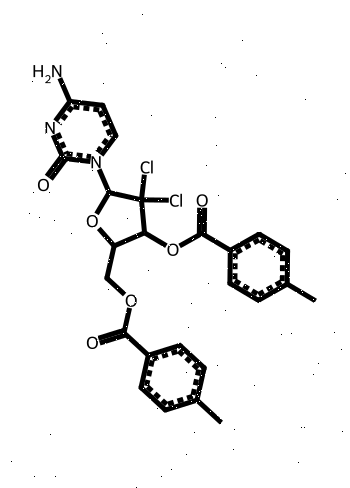 Cc1ccc(C(=O)OCC2OC(n3ccc(N)nc3=O)C(Cl)(Cl)C2OC(=O)c2ccc(C)cc2)cc1